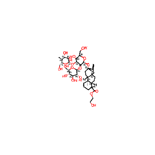 C=C1C[C@@]23CC[C@H]4[C@@](C)(CCC[C@@]4(C)C(=O)OCCO)[C@@H]2CC[C@]1(O[C@@H]1O[C@H](CO)[C@@H](O)[C@H](O[C@@H]2O[C@H](CO)[C@@H](C)[C@H](O)[C@H]2O)[C@H]1O[C@@H]1O[C@H](CO)[C@@H](O)[C@H](O)[C@H]1O)C3